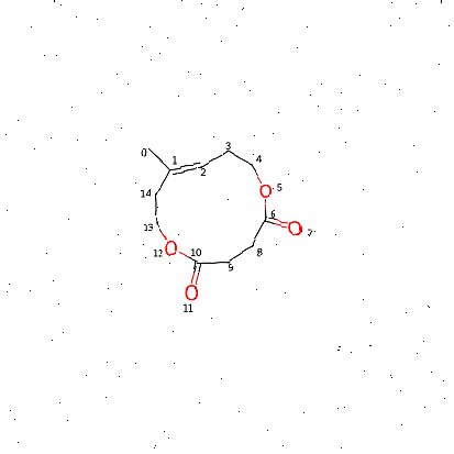 C/C1=C\CCOC(=O)CCC(=O)OCC1